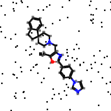 Cc1oc(-c2ccc(-n3ccnc3)cc2)nc1CN1CCC2(CCc3ccccc32)CC1